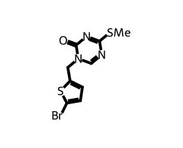 CSc1ncn(Cc2ccc(Br)s2)c(=O)n1